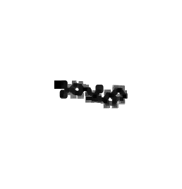 O=C(C=Cc1ccc(C(=O)O)cc1)[AsH]c1ccc2cnccc2c1